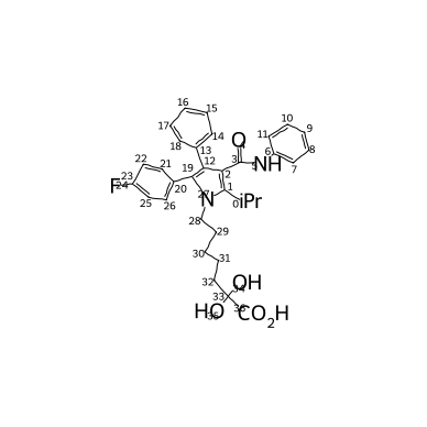 CC(C)c1c(C(=O)Nc2ccccc2)c(-c2ccccc2)c(-c2ccc(F)cc2)n1CCCCCC(O)(O)C(=O)O